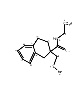 CC(=O)SCC1(C(=O)NCC(=O)O)CCc2ccccc2C1